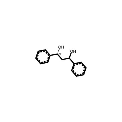 OC(C[C@@H](O)c1ccccc1)c1ccccc1